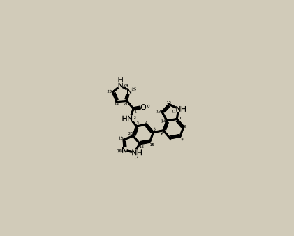 O=C(Nc1cc(-c2cccc3[nH]ccc23)cc2[nH]ncc12)c1cc[nH]n1